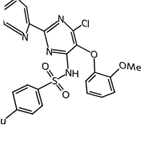 COc1ccccc1Oc1c(Cl)nc(-c2ccccn2)nc1NS(=O)(=O)c1ccc(C(C)(C)C)cc1